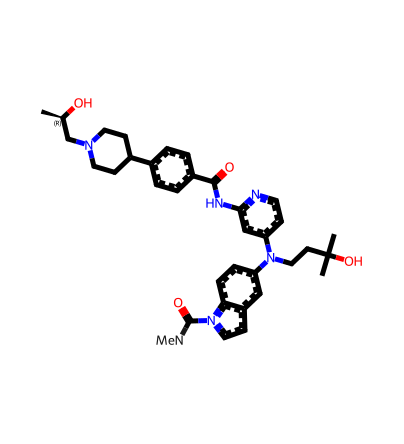 CNC(=O)n1ccc2cc(N(CCC(C)(C)O)c3ccnc(NC(=O)c4ccc(C5CCN(C[C@@H](C)O)CC5)cc4)c3)ccc21